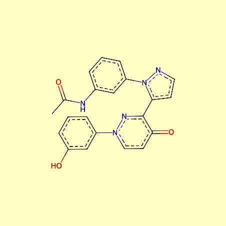 CC(=O)Nc1cccc(-n2nccc2-c2nn(-c3cccc(O)c3)ccc2=O)c1